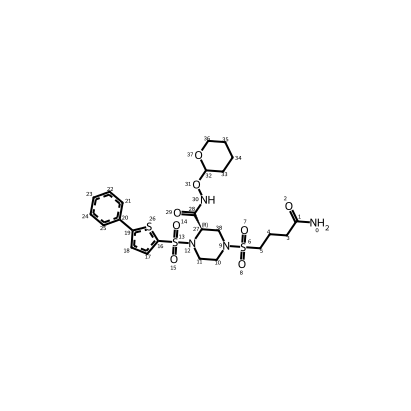 NC(=O)CCCS(=O)(=O)N1CCN(S(=O)(=O)c2ccc(-c3ccccc3)s2)[C@@H](C(=O)NOC2CCCCO2)C1